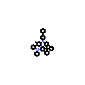 Cc1cc(N(c2ccc(-c3ccccc3)cc2)c2ccc3c(c2)C(c2ccccc2)(c2ccccc2)c2ccccc2-3)ccc1-c1ccccc1Nc1ccccc1